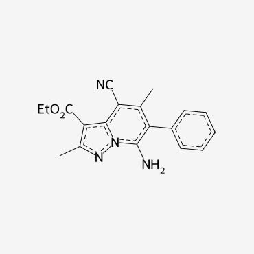 CCOC(=O)c1c(C)nn2c(N)c(-c3ccccc3)c(C)c(C#N)c12